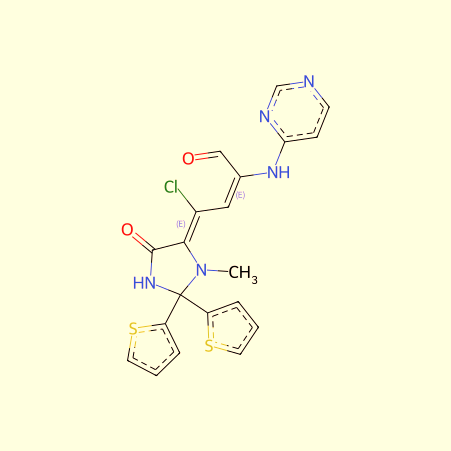 CN1/C(=C(Cl)\C=C(/C=O)Nc2ccncn2)C(=O)NC1(c1cccs1)c1cccs1